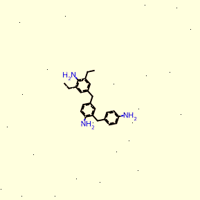 CCc1cc(Cc2ccc(N)c(Cc3ccc(N)cc3)c2)cc(CC)c1N